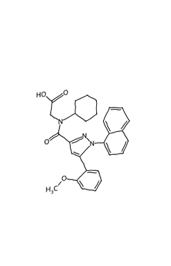 COc1ccccc1-c1cc(C(=O)N(CC(=O)O)C2CCCCC2)nn1-c1cccc2ccccc12